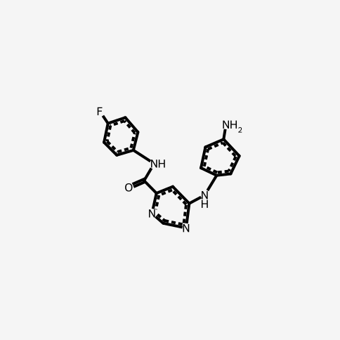 Nc1ccc(Nc2cc(C(=O)Nc3ccc(F)cc3)ncn2)cc1